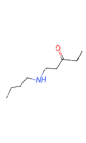 CCCCNCCC(=O)CC